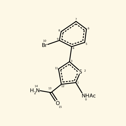 CC(=O)Nc1sc(-c2ccccc2Br)cc1C(N)=O